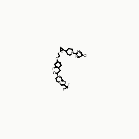 O=C(Cc1ccc(OCC[C@@H]2CC2C2CCN(c3ncc(Cl)cn3)CC2)cc1F)N1CCn2cc(C(F)(F)F)nc2C1